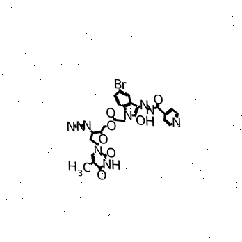 Cc1cn(C2CC(N=[N+]=[N-])C(COC(=O)Cn3c(O)c(N=NC(=O)c4ccncc4)c4cc(Br)ccc43)O2)c(=O)[nH]c1=O